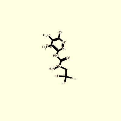 Cc1c(Cl)nnc(NC(=O)N(N)CC(F)(F)F)c1C